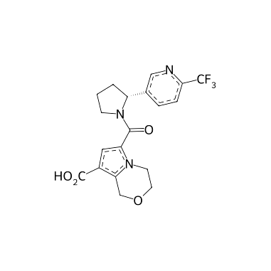 O=C(O)c1cc(C(=O)N2CCC[C@@H]2c2ccc(C(F)(F)F)nc2)n2c1COCC2